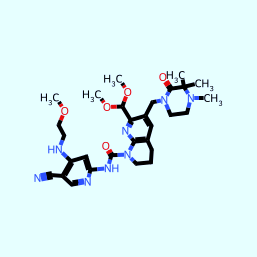 COCCNc1cc(NC(=O)N2CCCc3cc(CN4CCN(C)C(C)(C)C4=O)c(C(OC)OC)nc32)ncc1C#N